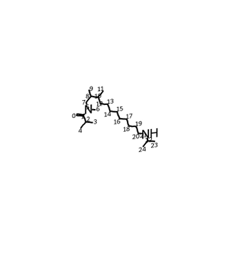 C=C(C(C)C)N(C)CC(C)C(C)CCCCCCCCCNC(C)C